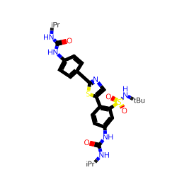 CC(C)NC(=O)Nc1ccc(-c2ncc(-c3ccc(NC(=O)NC(C)C)cc3S(=O)(=O)NC(C)(C)C)s2)cc1